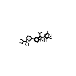 CCC(CC)C(=O)N1CCCC(c2ccc3[nH]c(-c4cc(C)nc(C)c4)c(C(C)C)c3c2)C1